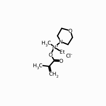 C=C(C)C(=O)O[N+](C)(CC)N1CCOCC1.[Cl-]